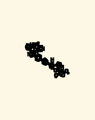 COC(=O)N[C@H](C(=O)N1CCC[C@H]1c1ncc(-c2ccc(-c3ccc(-c4cnc(C5C6CCC(C6)C5C(=O)NC(C)c5cccnc5)[nH]4)cc3)cc2)[nH]1)[C@@H](C)OC